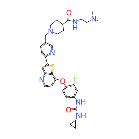 CN(C)CCNC(=O)C1CCN(Cc2ccc(-c3cc4nccc(Oc5ccc(NC(=O)NC6CC6)cc5F)c4s3)nc2)CC1